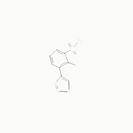 Cc1c(-c2c[nH]nn2)cccc1S(N)(=O)=O